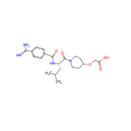 CC(C)C[C@H](NC(=O)c1ccc(C(=N)N)cc1)C(=O)N1CCC(OCC(=O)O)CC1